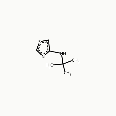 CC(C)(C)Nc1cscn1